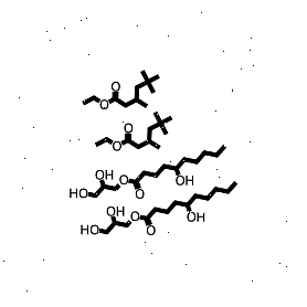 CCCCCC(O)CCCC(=O)OCC(O)CO.CCCCCC(O)CCCC(=O)OCC(O)CO.CCOC(=O)CC(C)CC(C)(C)C.CCOC(=O)CC(C)CC(C)(C)C